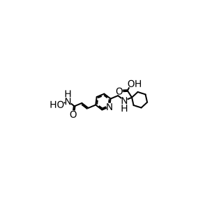 O=C(/C=C/c1ccc(CNC2(C(=O)O)CCCCC2)nc1)NO